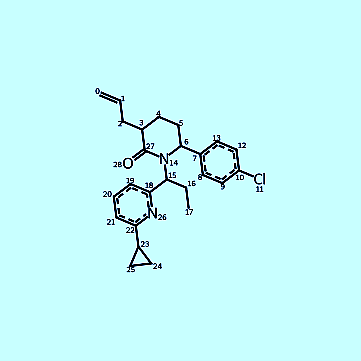 C=CCC1CCC(c2ccc(Cl)cc2)N(C(CC)c2cccc(C3CC3)n2)C1=O